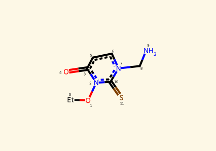 CCOn1c(=O)ccn(CN)c1=S